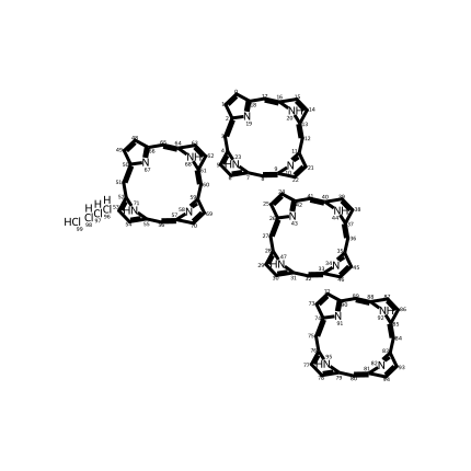 C1=Cc2cc3ccc(cc4nc(cc5ccc(cc1n2)[nH]5)C=C4)[nH]3.C1=Cc2cc3ccc(cc4nc(cc5ccc(cc1n2)[nH]5)C=C4)[nH]3.C1=Cc2cc3ccc(cc4nc(cc5ccc(cc1n2)[nH]5)C=C4)[nH]3.C1=Cc2cc3ccc(cc4nc(cc5ccc(cc1n2)[nH]5)C=C4)[nH]3.Cl.Cl.Cl.Cl